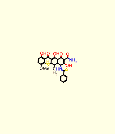 COc1ccc(O)c2c1[SH]C1C(=C(O)C3C(=O)C(C(N)=O)=C(O)C(NC(=S)c4ccccc4)C3C1C)C2=O